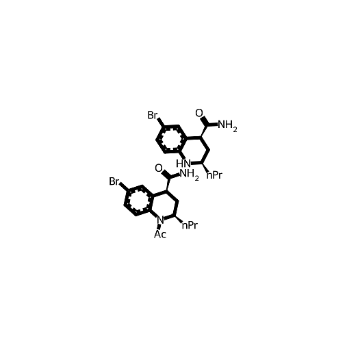 CCC[C@@H]1C[C@H](C(N)=O)c2cc(Br)ccc2N1.CCC[C@@H]1C[C@H](C(N)=O)c2cc(Br)ccc2N1C(C)=O